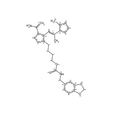 C=C(N)c1ncn(CCCCOC(=O)NCc2ccc3c(c2)OCO3)c1/N=C(\C)c1ccnn1C